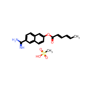 CC=CC=CC(=O)Oc1ccc2cc(C(=N)N)ccc2c1.CS(=O)(=O)O